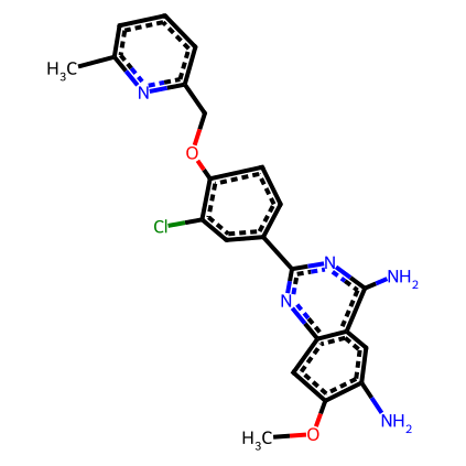 COc1cc2nc(-c3ccc(OCc4cccc(C)n4)c(Cl)c3)nc(N)c2cc1N